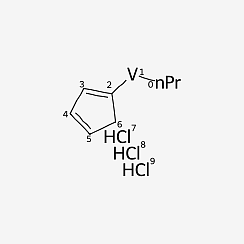 CC[CH2][V][C]1=CC=CC1.Cl.Cl.Cl